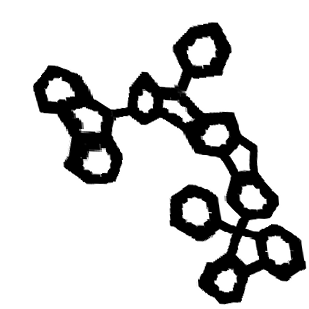 c1ccc(-n2c3ccc(-n4c5ccccc5c5ccccc54)cc3c3cc4c(cc32)Cc2ccc(C3(c5ccccc5)c5ccccc5-c5ccccc53)cc2-4)cc1